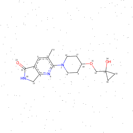 Cc1cc2c(nc1N1CCC(OCC3(O)CC3)CC1)CNC2=O